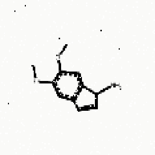 COc1cc2c(cc1OC)C(N)C=C2